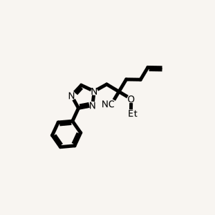 C=CCCC(C#N)(Cn1cnc(-c2ccccc2)n1)OCC